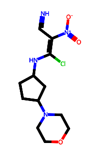 N=C/C(=C(/Cl)NC1CCC(N2CCOCC2)C1)[N+](=O)[O-]